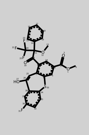 COC(=O)c1cc2c(c(C(=O)C(OC)(c3ccccc3)C(F)(F)F)c1)C=C(O)c1cc(F)ccc1S2